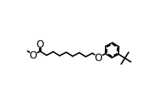 COC(=O)CCCCCCCCOc1cccc(C(C)(C)C)c1